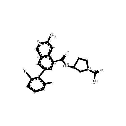 Cc1cccc(F)c1-c1cc(C(=O)NC2CCN(C(=O)O)C2)c2cc(N)ncc2c1